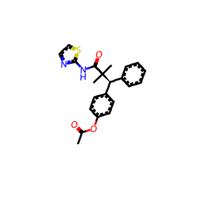 CC(=O)Oc1ccc([C@H](c2ccccc2)C(C)(C)C(=O)Nc2nccs2)cc1